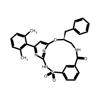 Cc1cccc(C)c1-c1cc2nc(n1)NS(=O)(=O)c1cccc(c1)C(=O)NC[C@H](Cc1ccccc1)O2